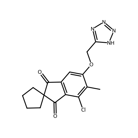 Cc1c(OCc2nnn[nH]2)cc2c(c1Cl)C(=O)C1(CCCC1)C2=O